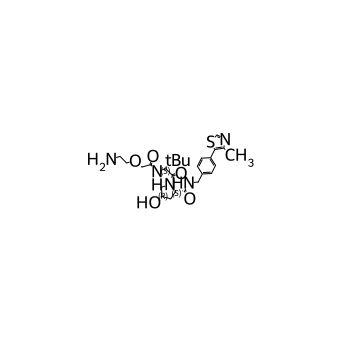 Cc1ncsc1-c1ccc(CNC(=O)[C@@H]2C[C@@H](O)CN2C(=O)[C@@H](NC(=O)COCCN)C(C)(C)C)cc1